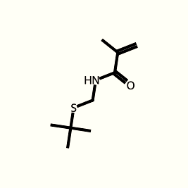 C=C(C)C(=O)NCSC(C)(C)C